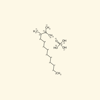 CCCCCCCCCCC(C)N(C)C.O=P(O)(O)O